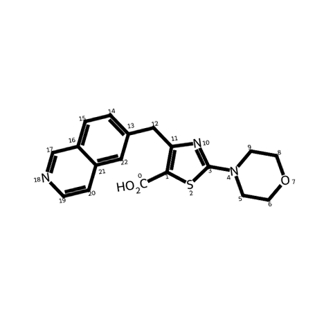 O=C(O)c1sc(N2CCOCC2)nc1Cc1ccc2cnccc2c1